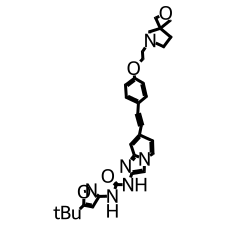 CC(C)(C)c1cc(NC(=O)Nc2cn3ccc(C#Cc4ccc(OCCN5CCC6(COC6)C5)cc4)cc3n2)no1